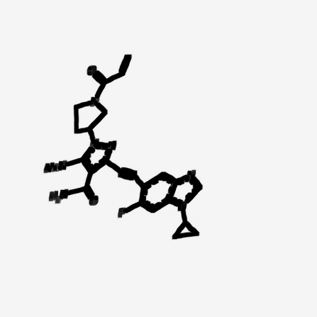 C=CC(=O)N1CCC(n2nc(C#Cc3cc4ncn(C5CC5)c4cc3F)c(C(N)=O)c2NC)C1